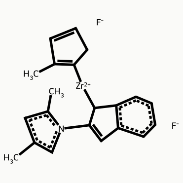 CC1=[C]([Zr+2][CH]2C(n3cc(C)cc3C)=Cc3ccccc32)CC=C1.[F-].[F-]